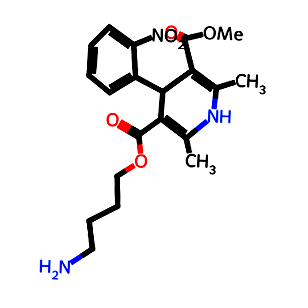 COC(=O)C1=C(C)NC(C)=C(C(=O)OCCCCN)C1c1ccccc1[N+](=O)[O-]